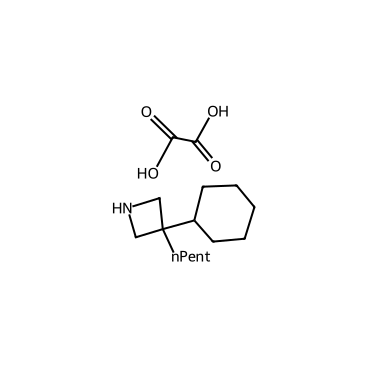 CCCCCC1(C2CCCCC2)CNC1.O=C(O)C(=O)O